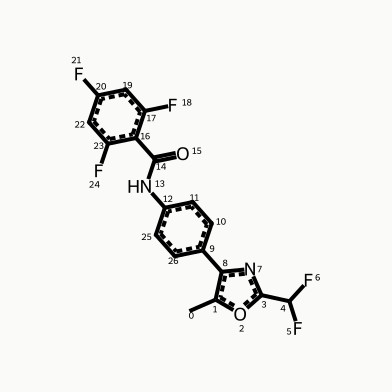 Cc1oc(C(F)F)nc1-c1ccc(NC(=O)c2c(F)cc(F)cc2F)cc1